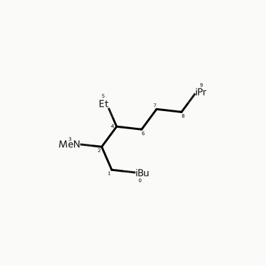 CCC(C)CC(NC)C(CC)CCCC(C)C